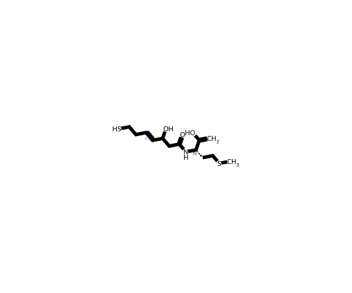 C=C(O)[C@H](CCSC)NC(=O)CC(O)/C=C/CCS